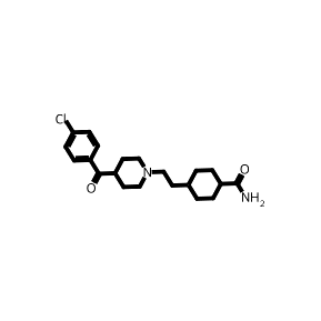 NC(=O)C1CCC(CCN2CCC(C(=O)c3ccc(Cl)cc3)CC2)CC1